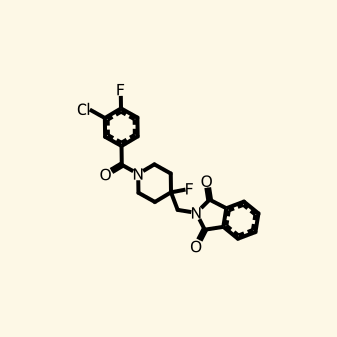 O=C(c1ccc(F)c(Cl)c1)N1CCC(F)(CN2C(=O)c3ccccc3C2=O)CC1